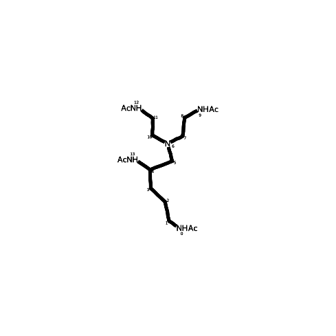 CC(=O)NCCCC(CN(CCNC(C)=O)CCNC(C)=O)NC(C)=O